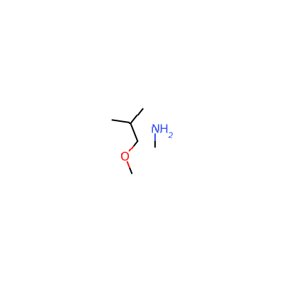 CN.COCC(C)C